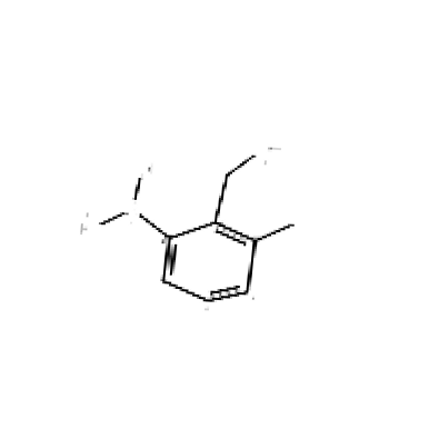 OCc1c(F)cccc1B(O)O